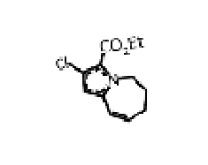 CCOC(=O)c1c(Cl)cc2n1CCCC=C2